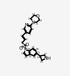 O=S(=O)(CC=Cc1ccc(N2CCOCC2)nc1)n1ccc2cc(C3CNC3)ccc21